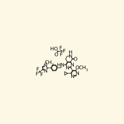 COc1ncnc(C2CC2)c1-c1nc(NCc2ccc(-c3nc(C(F)(F)F)cn3C)cc2)c2c(n1)C(=O)NCC2.O=C(O)C(F)(F)F